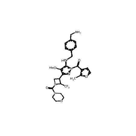 COc1c(C2CN(C(=O)N3CCOCC3)C2C(F)(F)F)nn(C(=O)c2ccoc2C)c1NCc1ccc(CN)cc1